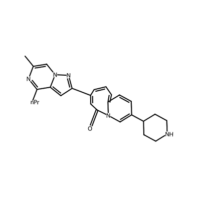 CCCc1nc(C)cn2nc(C3=C\C(=O)N4C=C(C5CCNCC5)C=C\C4=C/C=C/3)cc12